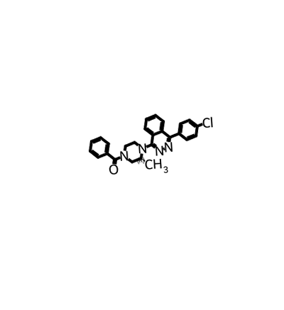 C[C@@H]1CN(C(=O)c2ccccc2)CCN1c1nnc(-c2ccc(Cl)cc2)c2ccccc12